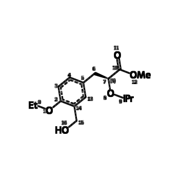 CCOc1ccc(C[C@H](OC(C)C)C(=O)OC)cc1CO